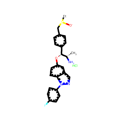 CC[S+]([O-])Cc1ccc([C@@H](Oc2ccc3c(cnn3-c3ccc(F)cc3)c2)[C@H](C)N)cc1.Cl